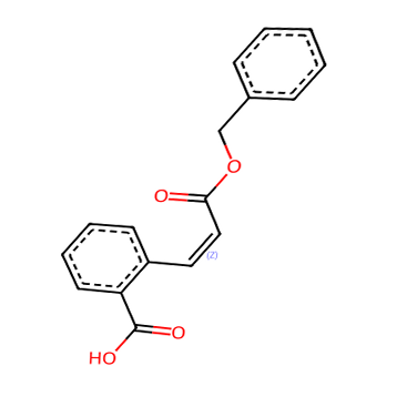 O=C(/C=C\c1ccccc1C(=O)O)OCc1ccccc1